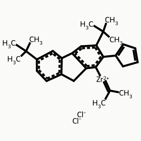 C[C](C)=[Zr+2][c]1c2c(cc(C(C)(C)C)c1C1=CC=CC1)-c1cc(C(C)(C)C)ccc1C2.[Cl-].[Cl-]